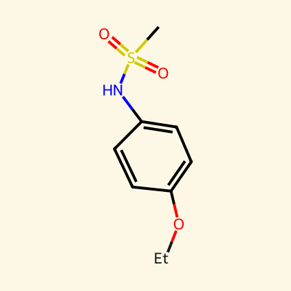 CCOc1ccc(NS(C)(=O)=O)cc1